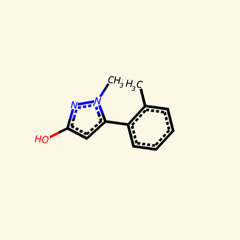 Cc1ccccc1-c1cc(O)nn1C